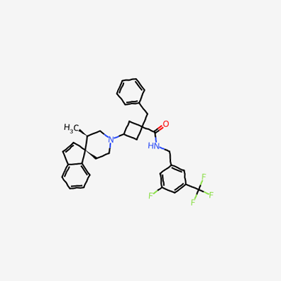 C[C@H]1CN(C2CC(Cc3ccccc3)(C(=O)NCc3cc(F)cc(C(F)(F)F)c3)C2)CC[C@@]12C=Cc1ccccc12